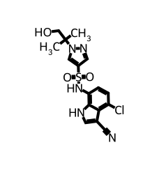 CC(C)(CO)n1cc(S(=O)(=O)Nc2ccc(Cl)c3c(C#N)c[nH]c23)cn1